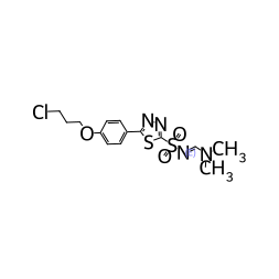 CN(C)/C=N/S(=O)(=O)c1nnc(-c2ccc(OCCCCl)cc2)s1